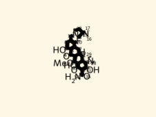 COC1=C2C(=O)c3c(O)cc(CN4CC[C@H](N(C)C)C4)c(F)c3C[C@H]2CC2[C@H](N(C)C)C(O)=C(C(N)=O)C(=O)[C@@]12O